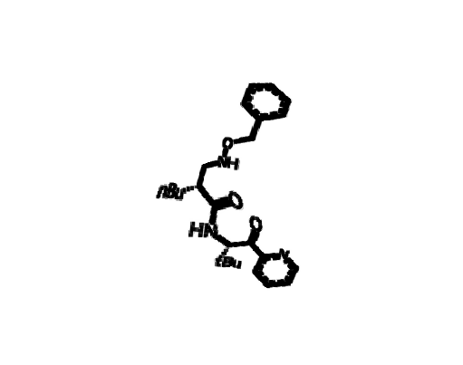 CCCC[C@H](CNOCc1ccccc1)C(=O)N[C@H](C(=O)c1ccccn1)C(C)(C)C